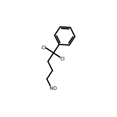 O=NCCCC(Cl)(Cl)c1ccccc1